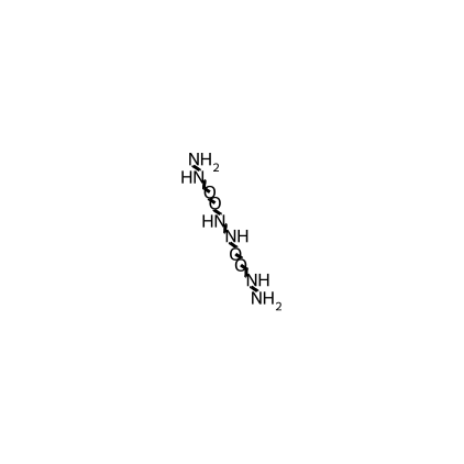 NCCNCCOCOCCNCCNCCOCOCCNCCN